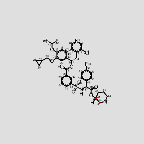 O=C(O[C@@H](Cc1c(Cl)cncc1Cl)c1ccc(OC(F)F)c(OCC2CC2)c1)c1cccc(S(=O)(=O)NC(C(=O)O[C@H]2CN3CCC2CC3)c2ccc(F)cc2)c1